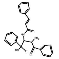 CCC(O)(c1ccccc1)C(NC(=O)C=Cc1ccccc1)C(N)C(=O)c1ccccc1